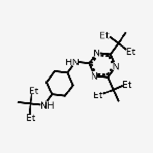 CCC(C)(CC)NC1CCC(Nc2nc(C(C)(CC)CC)nc(C(C)(CC)CC)n2)CC1